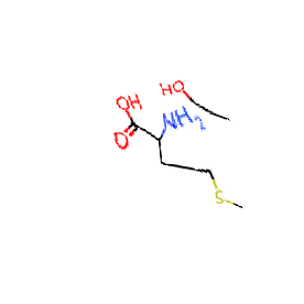 CCO.CSCCC(N)C(=O)O